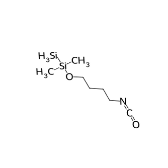 C[Si](C)([SiH3])OCCCCN=C=O